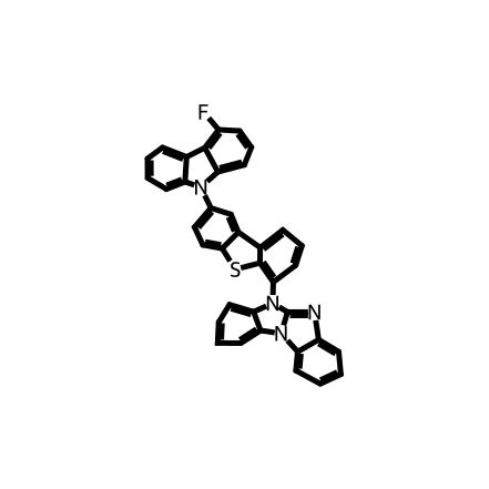 Fc1cccc2c1c1ccccc1n2-c1ccc2sc3c(-n4c5ccccc5n5c6ccccc6nc45)cccc3c2c1